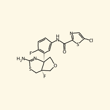 NC1=N[C@@]2(c3cc(NC(=O)c4ncc(Cl)s4)ccc3F)COC[C@@]2(F)CS1